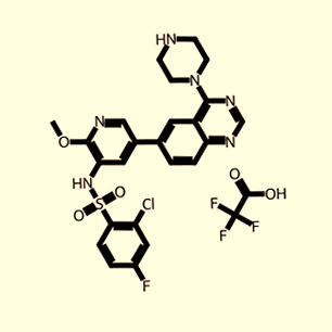 COc1ncc(-c2ccc3ncnc(N4CCNCC4)c3c2)cc1NS(=O)(=O)c1ccc(F)cc1Cl.O=C(O)C(F)(F)F